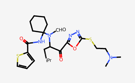 CC(C)CC(C(=O)c1nnc(SCCN(C)C)o1)N(C=O)C1(NC(=O)c2cccs2)CCCCC1